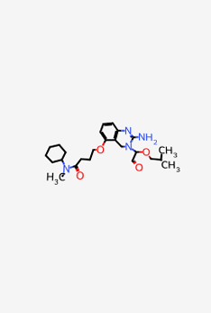 CC(C)COC(C=O)N1Cc2c(cccc2OCCCC(=O)N(C)C2CCCCC2)N=C1N